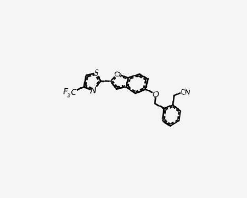 N#CCc1ccccc1COc1ccc2oc(-c3nc(C(F)(F)F)cs3)cc2c1